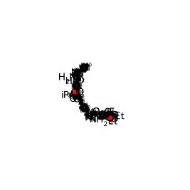 CCOP(=O)(OCC)C(F)S(=O)(=O)c1ccc(NC(=O)c2nc(-c3ccc(CCC(C)OP(=O)(CS(=O)(=O)c4ccc(NC(=O)c5nc(-c6ccc(C)cc6)cnc5N)cc4)OC(C)C)cc3)cnc2N)cc1